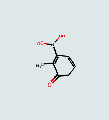 CC1=C(B(O)O)C=CCC1=O